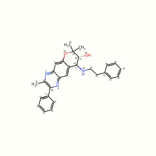 Cc1nc2cc3c(cc2nc1-c1ccccc1)[C@H](NCCc1ccccc1)[C@@H](O)C(C)(C)O3